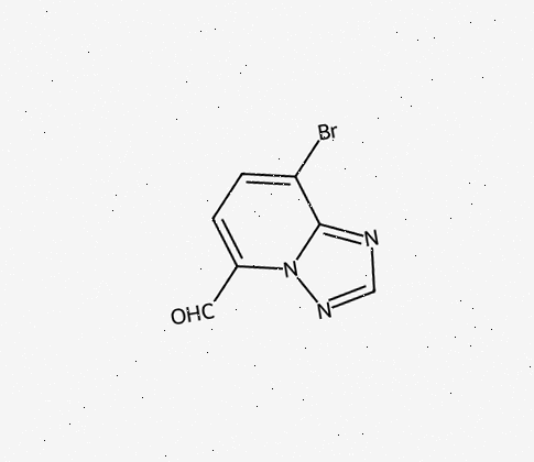 O=Cc1ccc(Br)c2ncnn12